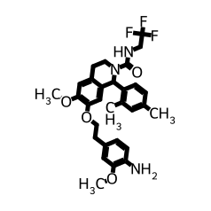 COc1cc(CCOc2cc3c(cc2OC)CCN(C(=O)NCC(F)(F)F)C3c2ccc(C)cc2C)ccc1N